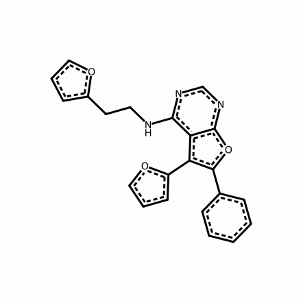 c1ccc(-c2oc3ncnc(NCCc4ccco4)c3c2-c2ccco2)cc1